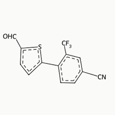 N#Cc1ccc(-c2ccc(C=O)s2)c(C(F)(F)F)c1